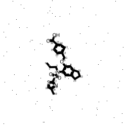 CCCN(c1cc2c(cc1OCc1ccc(C(=O)O)cc1)CCC2)S(=O)(=O)c1nc(C)cs1